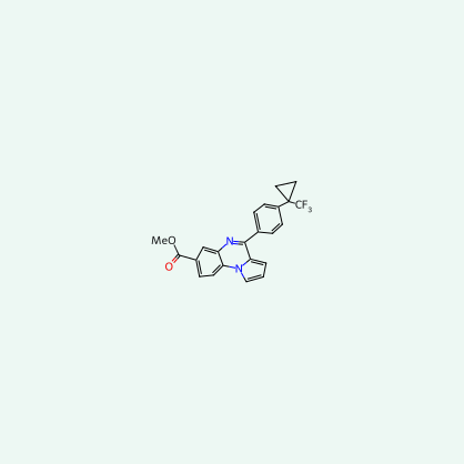 COC(=O)c1ccc2c(c1)nc(-c1ccc(C3(C(F)(F)F)CC3)cc1)c1cccn12